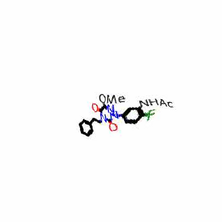 COc1nn(-c2ccc(F)c(NC(C)=O)c2)c(=O)n(CCc2ccccc2)c1=O